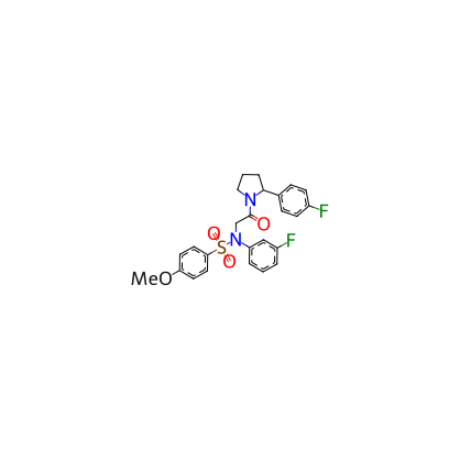 COc1ccc(S(=O)(=O)N(CC(=O)N2CCCC2c2ccc(F)cc2)c2cccc(F)c2)cc1